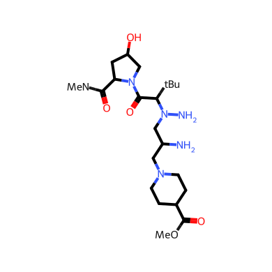 CNC(=O)C1CC(O)CN1C(=O)C(N(N)CC(N)CN1CCC(C(=O)OC)CC1)C(C)(C)C